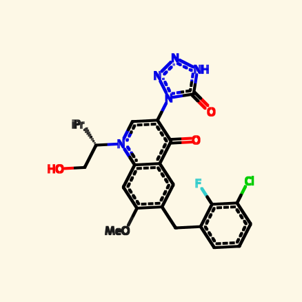 COc1cc2c(cc1Cc1cccc(Cl)c1F)c(=O)c(-n1nn[nH]c1=O)cn2[C@H](CO)C(C)C